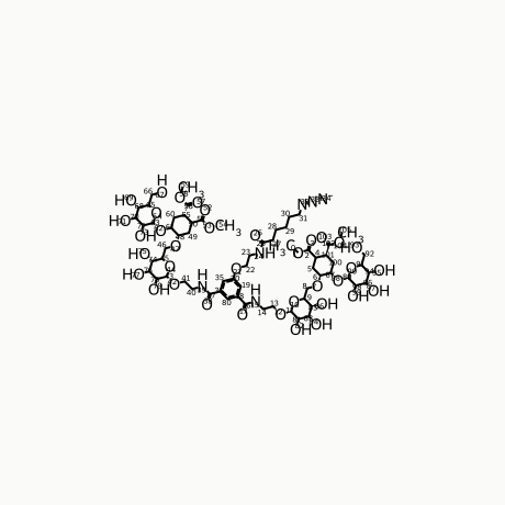 COC(=O)C1C[C@H](OCC2O[C@H](OCCNC(=O)c3cc(OCCNC(=O)CCCCCN=[N+]=[N-])cc(C(=O)NCCO[C@H]4OC(CO[C@H]5CC(C(=O)OC)[C@@H](C(=O)OC)CC5O[C@H]5OC(CO)[C@@H](O)C(O)C5O)[C@@H](O)C(O)C4O)c3)C(O)C(O)[C@@H]2O)C(O[C@H]2OC(CO)[C@@H](O)C(O)C2O)C[C@@H]1C(=O)OC